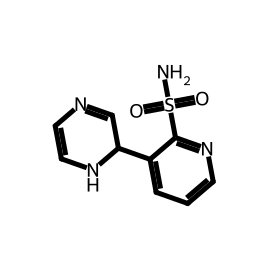 NS(=O)(=O)c1ncccc1C1C=NC=CN1